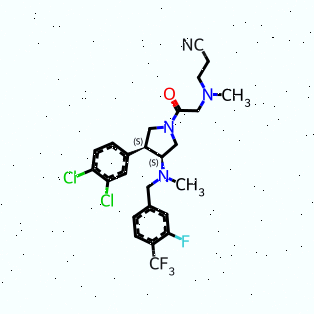 CN(CCC#N)CC(=O)N1C[C@H](c2ccc(Cl)c(Cl)c2)[C@H](N(C)Cc2ccc(C(F)(F)F)c(F)c2)C1